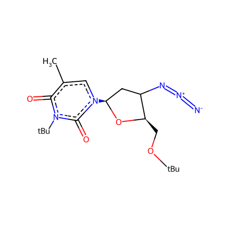 Cc1cn([C@H]2CC(N=[N+]=[N-])[C@@H](COC(C)(C)C)O2)c(=O)n(C(C)(C)C)c1=O